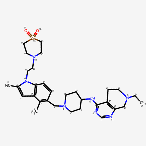 Cc1c(CN2CCC(Nc3ncnc4c3CCN(CC(F)(F)F)C4)CC2)ccc2c1cc(C#N)n2CCN1CCS(=O)(=O)CC1